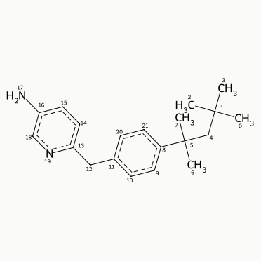 CC(C)(C)CC(C)(C)c1ccc(Cc2ccc(N)cn2)cc1